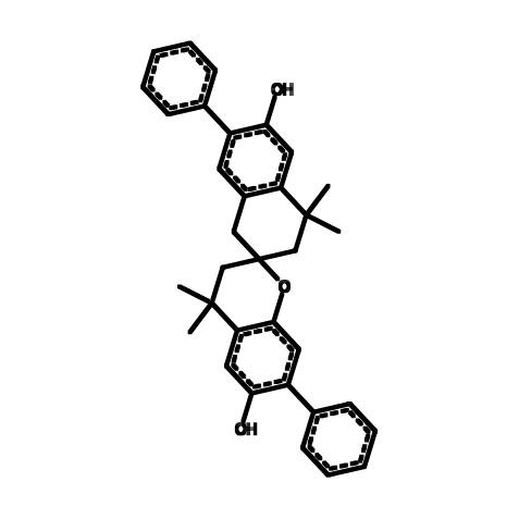 CC1(C)CC2(Cc3cc(-c4ccccc4)c(O)cc31)CC(C)(C)c1cc(O)c(-c3ccccc3)cc1O2